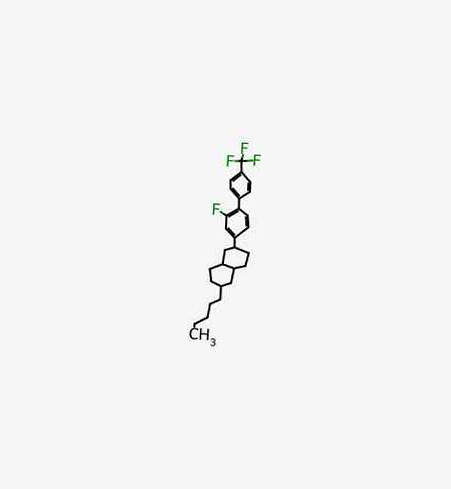 CCCCCC1CCC2CC(c3ccc(-c4ccc(C(F)(F)F)cc4)c(F)c3)CCC2C1